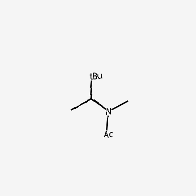 CC(=O)N(C)C(C)C(C)(C)C